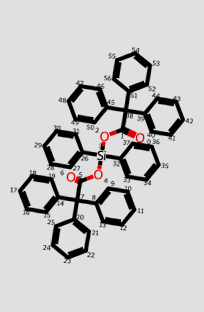 O=C(O[Si](OC(=O)C(c1ccccc1)(c1ccccc1)c1ccccc1)(c1ccccc1)c1ccccc1)C(c1ccccc1)(c1ccccc1)c1ccccc1